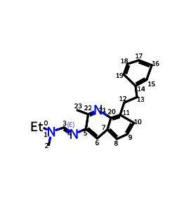 CCN(C)/C=N/c1cc2cccc(CCc3ccccc3)c2nc1C